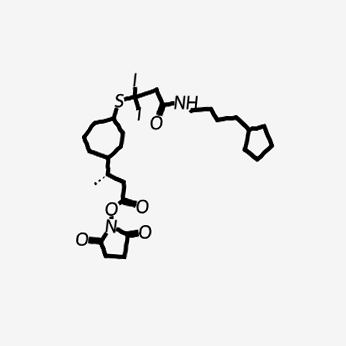 C[C@@H](CC(=O)ON1C(=O)CCC1=O)C1CCCC(SC(I)(I)CC(=O)NCCCCC2CCCC2)CC1